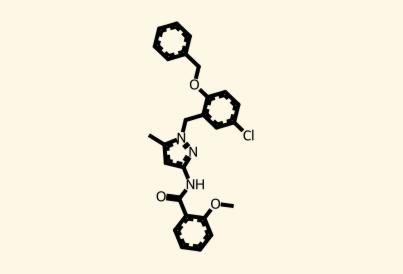 COc1ccccc1C(=O)Nc1cc(C)n(Cc2cc(Cl)ccc2OCc2ccccc2)n1